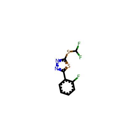 Fc1ccccc1-c1nnc(SC(F)F)s1